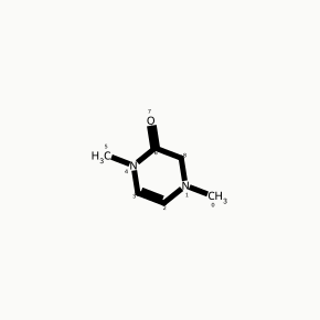 CN1C=CN(C)C(=O)C1